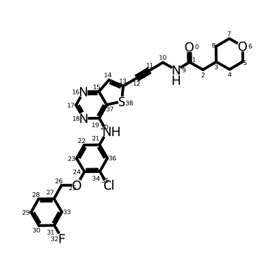 O=C(CC1CCOCC1)NCC#Cc1cc2ncnc(Nc3ccc(OCc4cccc(F)c4)c(Cl)c3)c2s1